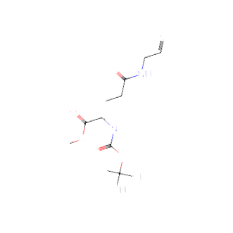 C=CCNC(=O)CC[C@H](NC(=O)OC(C)(C)C)C(=O)OC